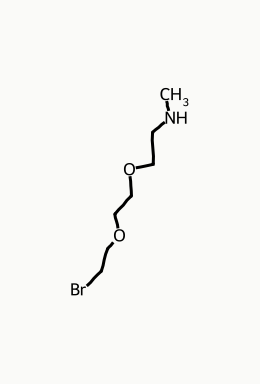 CNCCOCCOCCBr